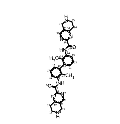 Cc1c(NC(=O)c2ncc3c(n2)CCNC3)cccc1-c1cccc(NC(=O)c2ncc3c(n2)CCNC3)c1C